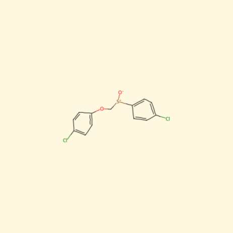 [O-][S+](COc1ccc(Cl)cc1)c1ccc(Cl)cc1